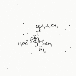 CCCCCC(=O)SCCC[Si](OCCCC)(OCCCC)OCCCC